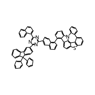 c1ccc(C2(c3ccccc3)c3ccccc3-c3cc(-c4nc(-c5ccc6c(-c7cccc8c7c7ccc9sc%10cccc%11c%12ccccc%12n8c7c9c%10%11)cccc6c5)nc(-c5cccc6ccccc56)n4)ccc32)cc1